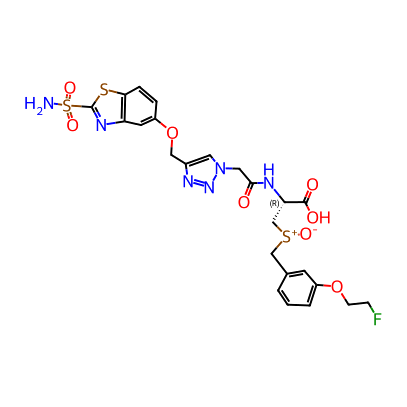 NS(=O)(=O)c1nc2cc(OCc3cn(CC(=O)N[C@@H](C[S+]([O-])Cc4cccc(OCCF)c4)C(=O)O)nn3)ccc2s1